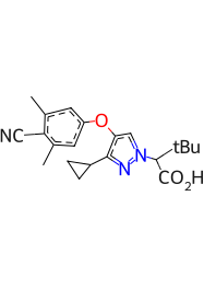 Cc1cc(Oc2cn(C(C(=O)O)C(C)(C)C)nc2C2CC2)cc(C)c1C#N